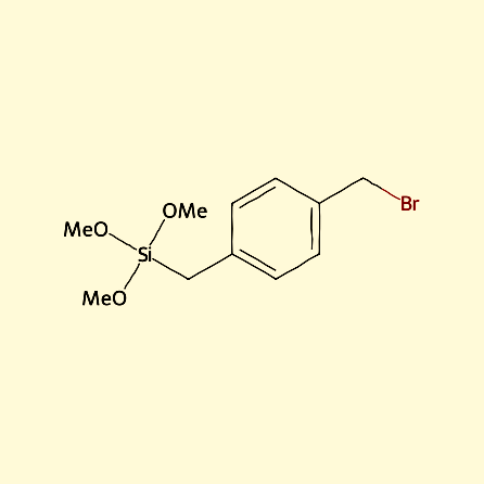 CO[Si](Cc1ccc(CBr)cc1)(OC)OC